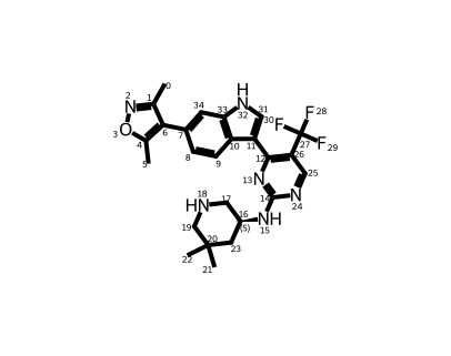 Cc1noc(C)c1-c1ccc2c(-c3nc(N[C@@H]4CNCC(C)(C)C4)ncc3C(F)(F)F)c[nH]c2c1